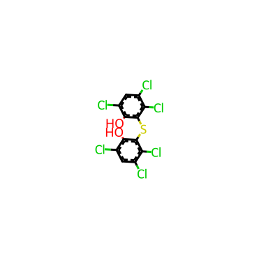 Oc1c(Cl)cc(Cl)c(Cl)c1Sc1c(O)c(Cl)cc(Cl)c1Cl